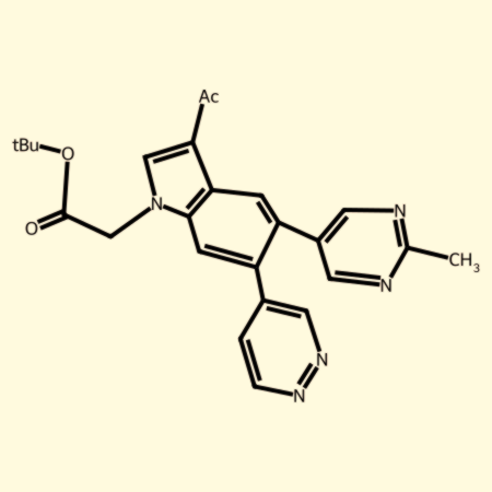 CC(=O)c1cn(CC(=O)OC(C)(C)C)c2cc(-c3ccnnc3)c(-c3cnc(C)nc3)cc12